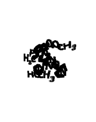 CCc1c(F)ccc2cc(OCOC)cc(N3CCc4c(nc(OCC56CCCN5CCC6)nc4N4CCCC(C)(O)C4)C3)c12